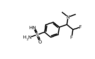 CN(C)C(c1ccc(S(=N)(N)=O)cc1)C(F)F